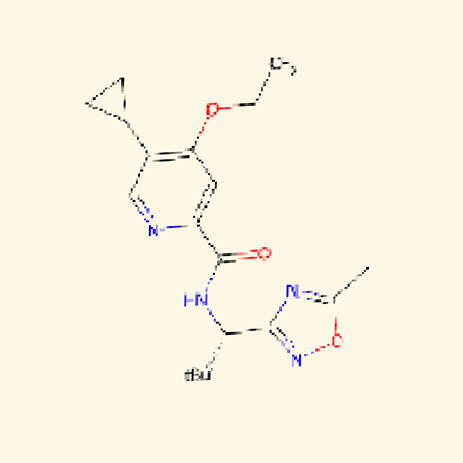 Cc1nc([C@@H](NC(=O)c2cc(OCC(F)(F)F)c(C3CC3)cn2)C(C)(C)C)no1